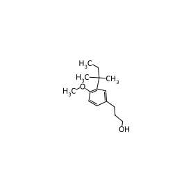 CCC(C)(C)c1cc(CCCO)ccc1OC